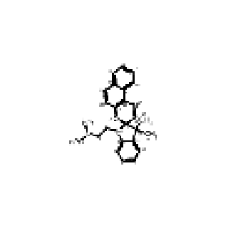 CCCN(CCC)CCN1c2ccccc2C(C)(C)C12C=Nc1c(ccc3ccccc13)O2